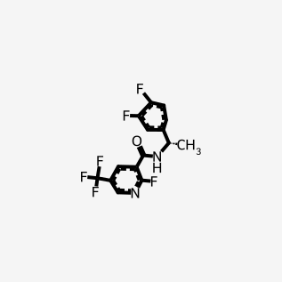 C[C@H](NC(=O)c1cc(C(F)(F)F)cnc1F)c1ccc(F)c(F)c1